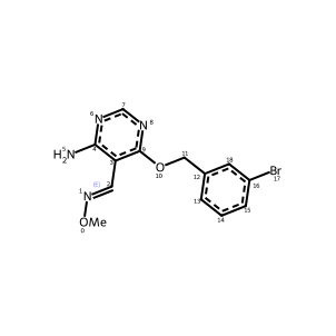 CO/N=C/c1c(N)ncnc1OCc1cccc(Br)c1